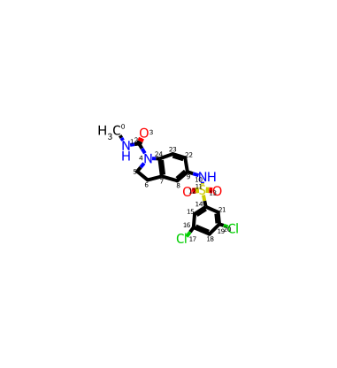 CNC(=O)N1CCc2cc(NS(=O)(=O)c3cc(Cl)cc(Cl)c3)ccc21